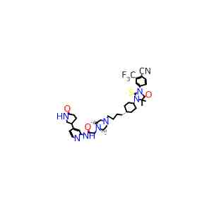 C[C@@H]1CN(CCCC[C@H]2CC[C@H](N3C(=S)N(c4ccc(C#N)c(C(F)(F)F)c4)C(=O)C3(C)C)CC2)C[C@H](C)N1CC(=O)Nc1cc(C2CCC(=O)NC2)ccn1